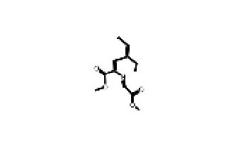 C\C=C(/C=C(\N=C\C(=O)OC)C(=O)OC)CC